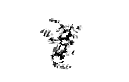 COP1(=O)OC[C@H]2O[C@@H]3[C@@H](Nc4c(nc(NC(=O)OC(C)(C)C)n(C(=O)OC(C)(C)C)c4=O)N3C(=O)OC(C)(C)C)[C@@H](O)[C@H]2O1